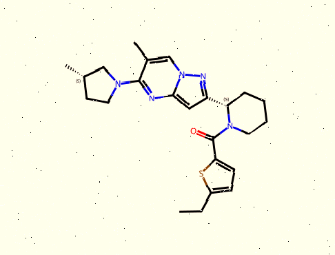 CCc1ccc(C(=O)N2CCCC[C@H]2c2cc3nc(N4CC[C@H](C)C4)c(C)cn3n2)s1